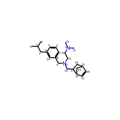 CC(C)Cc1cccc(CN(CCN(C)C)CC2CC3C=CC2C3)c1